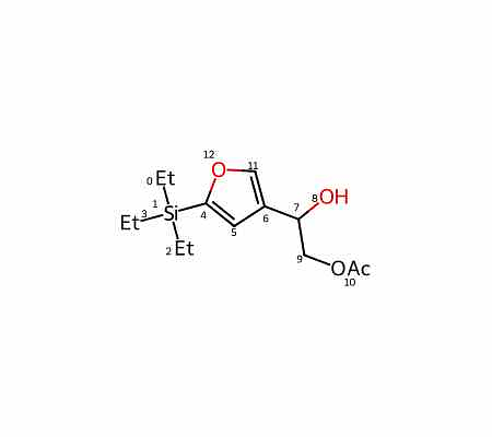 CC[Si](CC)(CC)c1cc(C(O)COC(C)=O)co1